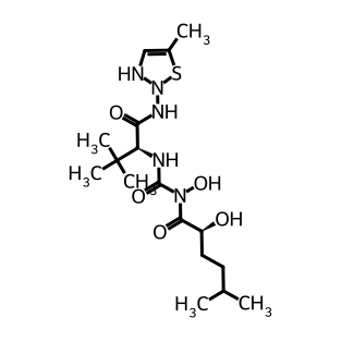 CC1=CNN(NC(=O)[C@@H](NC(=O)N(O)C(=O)[C@@H](O)CCC(C)C)C(C)(C)C)S1